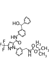 CC(C)(C)OC(=O)NCc1cccc(-n2nc(C(F)(F)F)cc2C(=O)Nc2cccc(C(O)c3ccccc3)c2)c1